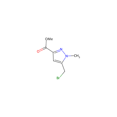 COC(=O)c1cc(CBr)n(C)n1